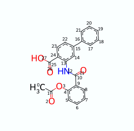 CC(=O)Oc1ccccc1C(=O)Nc1cc(-c2ccccc2)ccc1C(=O)O